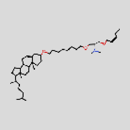 CC/C=C\COC[C@@H](COCCCCCCCCO[C@H]1CC[C@@]2(C)C(=CCC3C2CC[C@@]2(C)C3CC[C@@H]2[C@H](C)CCCC(C)C)C1)N(C)C